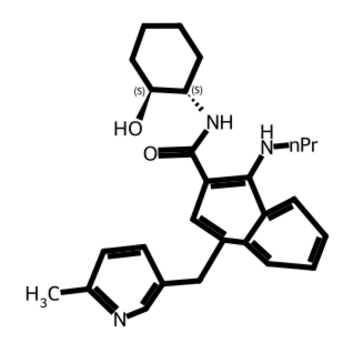 CCCNc1c(C(=O)N[C@H]2CCCC[C@@H]2O)cc(Cc2ccc(C)nc2)c2ccccc12